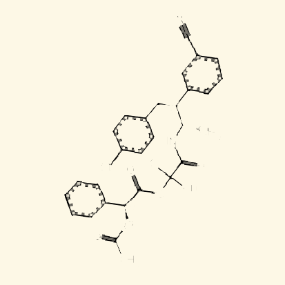 CC(=O)O[C@H](C(=O)OC(C)(C)C(=O)N[C@@H](C)[C@@H](Cc1ccc(Cl)cc1)c1cccc(C#N)c1)c1ccccc1